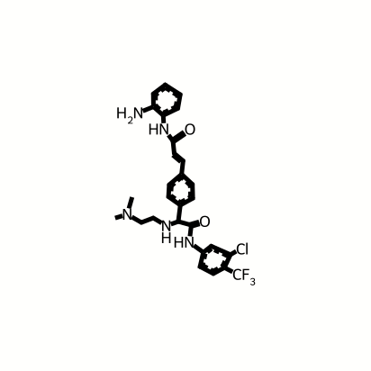 CN(C)CCNC(C(=O)Nc1ccc(C(F)(F)F)c(Cl)c1)c1ccc(/C=C/C(=O)Nc2ccccc2N)cc1